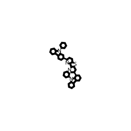 c1ccc(-n2c3ccccc3c3ccc(-c4ccc5sc6cc(-c7cccc8c9ccccc9n(-c9ccccc9)c78)cnc6c5n4)cc32)cc1